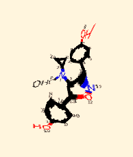 O=CN(c1c(-c2ccc(O)cc2)noc1-c1ccc(O)cc1)C1CC1